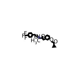 C/C(=N\OCc1ccc(C(F)(F)F)cc1)c1cc2cc(OCC(=O)C3CC3)ccc2o1